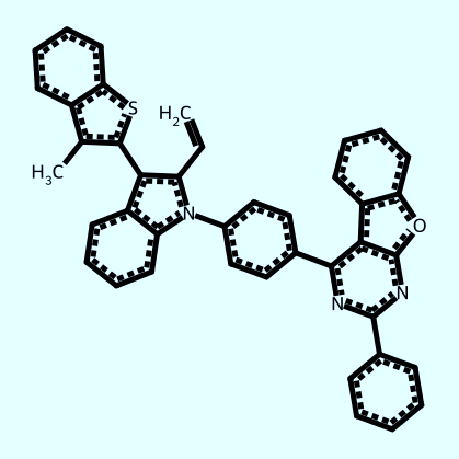 C=Cc1c(-c2sc3ccccc3c2C)c2ccccc2n1-c1ccc(-c2nc(-c3ccccc3)nc3oc4ccccc4c23)cc1